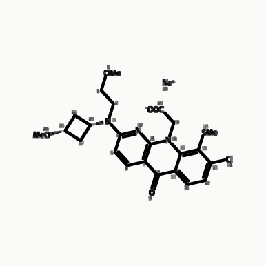 COCCN(c1ccc2c(=O)c3ccc(Cl)c(SC)c3n(CC(=O)[O-])c2n1)[C@H]1C[C@@H](OC)C1.[Na+]